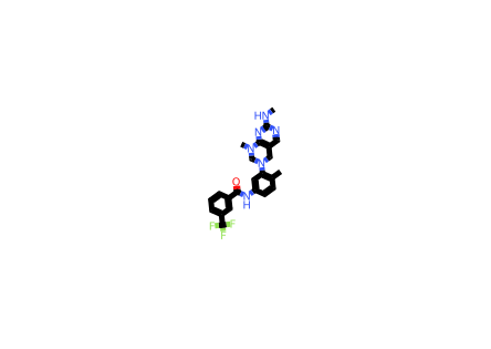 CNc1ncc2c(n1)N(C)CN(c1cc(NC(=O)c3cccc(C(F)(F)F)c3)ccc1C)C2